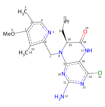 COc1c(C)cnc(CN2c3nc(N)nc(Cl)c3NC(=O)[C@@H]2CC(C)C)c1C